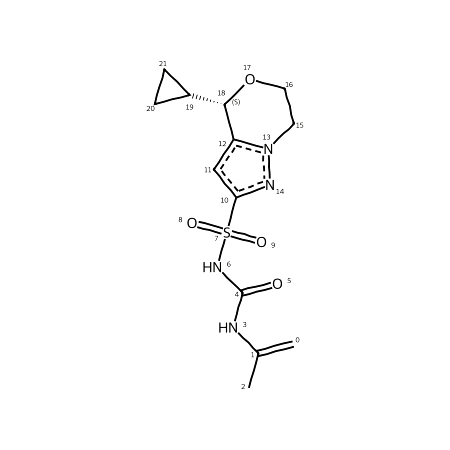 C=C(C)NC(=O)NS(=O)(=O)c1cc2n(n1)CCO[C@H]2C1CC1